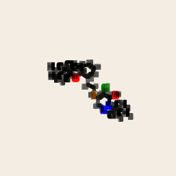 CC(C)(C)n1ncc(SCCc2ccccc2O[Si](C)(C)C(C)(C)C)c(Cl)c1=O